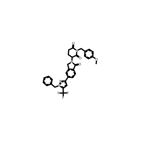 COc1ccc(CN2C(=O)CCC(N3Cc4cc(-c5cc(C(F)(F)F)n(Cc6ccccc6)n5)ccc4C3=O)C2=O)cc1